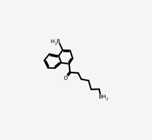 BCCCCCC(=O)c1ccc(B)c2ccccc12